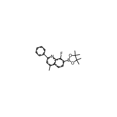 Cc1cc(-c2ccccc2)nc2c(F)c(B3OC(C)(C)C(C)(C)O3)ccc12